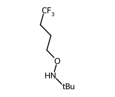 CC(C)(C)NOCCCC(F)(F)F